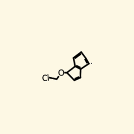 ClCOC1C=Cc2[c]cccc21